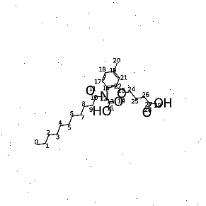 CCCCCCCCCCC(=O)N(C(=O)O)c1ccc(C)cc1OCCCC(=O)O